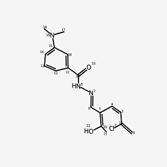 C=C(Cl)\C=C/C(/C=N/NC(=O)c1cccc(N(C)C)c1)=C(\C)O